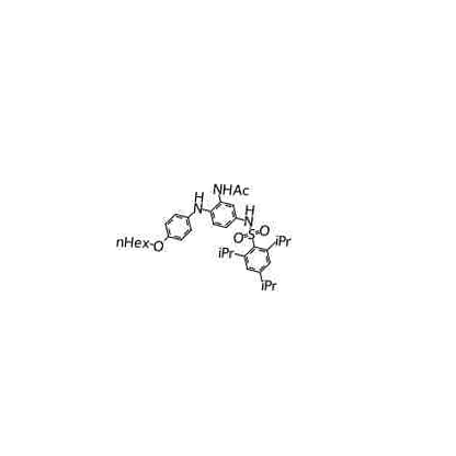 CCCCCCOc1ccc(Nc2ccc(NS(=O)(=O)c3c(C(C)C)cc(C(C)C)cc3C(C)C)cc2NC(C)=O)cc1